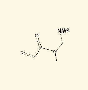 C=CC(=O)N(C)CNC